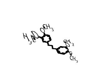 COc1ccc([CH]CCc2ccc(OC)c(OC)c2)cc1OC